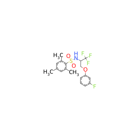 Cc1cc(C)c(S(=O)(=O)NC(COc2cccc(F)c2)C(F)(F)F)c(C)c1